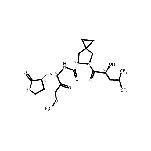 O=C1NCC[C@H]1C[C@H](NC(=O)[C@@H]1CC2(CC2)CN1C(=O)[C@@H](O)CC(C(F)(F)F)C(F)(F)F)C(=O)COC(F)(F)F